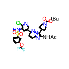 CC(=O)Nc1nc2ccc(-c3cnc(Cl)c(NS(=O)(=O)c4cccc(OC(F)F)c4)c3)nn2c1C1=CCN(C(=O)OC(C)(C)C)CC1